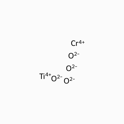 [Cr+4].[O-2].[O-2].[O-2].[O-2].[Ti+4]